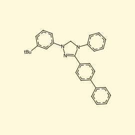 CC(C)(C)c1cccc(N2CN(c3ccccc3)C(c3ccc(-c4ccccc4)cc3)=N2)c1